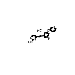 Cl.Nc1nccc(C#Cc2cc(F)cc(Oc3cccnc3)c2)n1